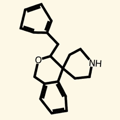 c1ccc(CC2OCc3ccccc3C23CCNCC3)cc1